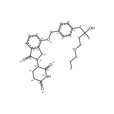 CCCOCCC(C)(O)Cc1ccc(COc2cccc3c2CN(C2CCC(=O)NC2=O)C3=O)cc1